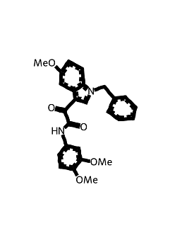 COc1ccc2c(c1)c(C(=O)C(=O)Nc1ccc(OC)c(OC)c1)cn2Cc1ccccc1